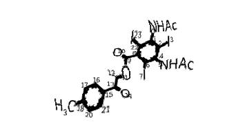 CC(=O)Nc1c(I)c(NC(C)=O)c(I)c(C(=O)OCC(=O)c2ccc(C)cc2)c1I